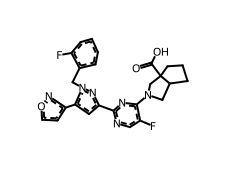 O=C(O)C12CCCC1CN(c1nc(-c3cc(-c4ccon4)n(Cc4ccccc4F)n3)ncc1F)C2